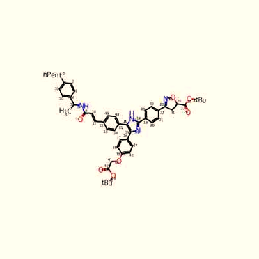 CCCCCc1ccc(C(C)NC(=O)C=Cc2ccc(-c3[nH]c(-c4ccc(C5=NOC(C(=O)OC(C)(C)C)C5)cc4)nc3-c3ccc(OCC(=O)OC(C)(C)C)cc3)cc2)cc1